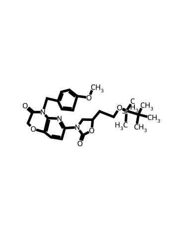 COc1ccc(CN2C(=O)COc3ccc(N4CC(CCO[Si](C)(C)C(C)(C)C)OC4=O)nc32)cc1